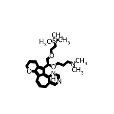 CN(C)CCCOC(COCC[Si](C)(C)C)C1=C2C=CCOC2=C2C=CCC3=CN=CNC3=C21